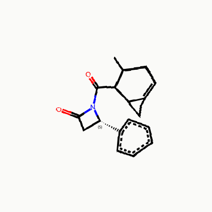 CC1CC=C2CC2C1C(=O)N1C(=O)C[C@H]1c1ccccc1